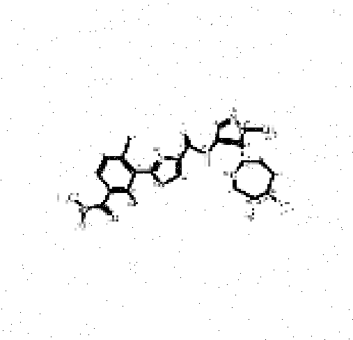 CN(C)C(=O)c1ccc(F)c(-c2nc(C(=O)Nc3cnn(C)c3[C@@H]3CC[C@@H](N)[C@H](F)CO3)cs2)c1F